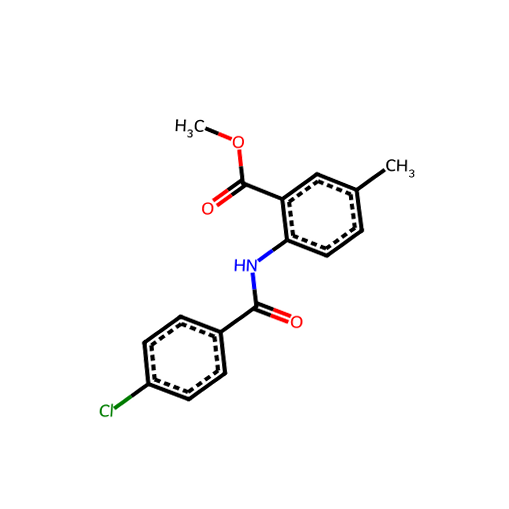 COC(=O)c1cc(C)ccc1NC(=O)c1ccc(Cl)cc1